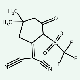 CC1(C)CC(=O)C(S(=O)(=O)C(F)(F)F)C(=C(C#N)C#N)C1